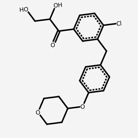 O=C(c1ccc(Cl)c(Cc2ccc(OC3CCOCC3)cc2)c1)C(O)CO